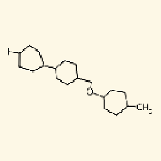 CC1CCC(OCC2CCC(C3CCC(I)CC3)CC2)CC1